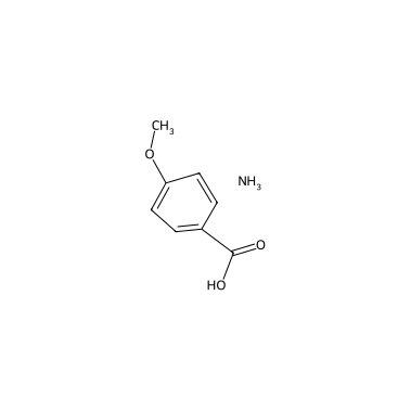 COc1ccc(C(=O)O)cc1.N